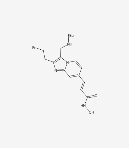 CC(C)CCc1nc2cc(C=CC(=O)NO)ccn2c1CNC(C)(C)C